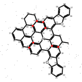 CC1C=CC(N(c2ccccc2-c2cccc3c2oc2ccccc23)c2ccccc2-c2cccc3cccc(C4CCCCC4)c23)=C(c2cccc3c2oc2ccccc23)C1